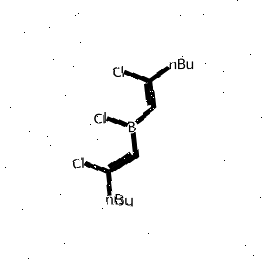 CCCCC(Cl)=CB(Cl)C=C(Cl)CCCC